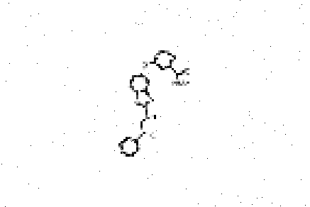 CNC(=O)c1cc(Oc2ccc3nc(NCC(Cl)c4ccccc4)sc3c2)ccn1